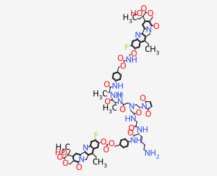 CCc1c2c(nc3cc(F)c(OCNC(=O)OCc4ccc(NC(=O)[C@H](C)NC(=O)[C@H](C)NC(=O)CN(CCN5C(=O)C=CC5=O)CC(=O)NCC(=O)N[C@@H](CCCCN)C(=O)Nc5ccc(COC(=O)Oc6cc7c(CC)c8c(nc7cc6F)-c6cc7c(c(=O)n6C8)COC(=O)[C@]7(O)CC)cc5)cc4)cc13)-c1cc3c(c(=O)n1C2)COC(=O)[C@]3(O)CC